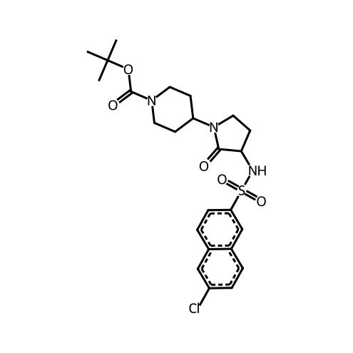 CC(C)(C)OC(=O)N1CCC(N2CCC(NS(=O)(=O)c3ccc4cc(Cl)ccc4c3)C2=O)CC1